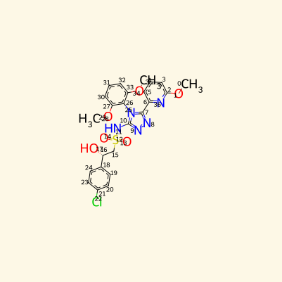 COc1cccc(-c2nnc(NS(=O)(=O)C[C@@H](O)c3ccc(Cl)cc3)n2-c2c(OC)cccc2OC)n1